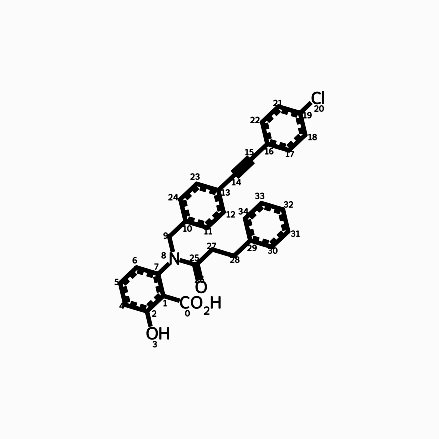 O=C(O)c1c(O)cccc1N(Cc1ccc(C#Cc2ccc(Cl)cc2)cc1)C(=O)CCc1ccccc1